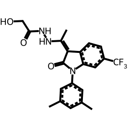 C/C(NNC(=O)CO)=C1/C(=O)N(c2cc(C)cc(C)c2)c2cc(C(F)(F)F)ccc21